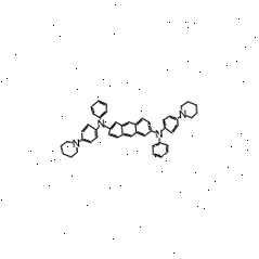 c1ccc(N(c2ccc(N3CCCCC3)cc2)c2ccc3cc4cc(N(c5ccccc5)c5ccc(N6CCCCC6)cc5)ccc4cc3c2)cc1